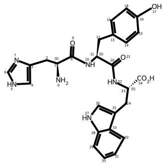 N[C@@H](Cc1c[nH]cn1)C(=O)N[C@@H](Cc1ccc(O)cc1)C(=O)N[C@@H](Cc1c[nH]c2ccccc12)C(=O)O